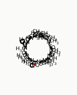 CC(C)C[C@H]1C(=O)N(C)[C@@H](C(C)C)C(=O)N[C@@H](C(C)C)C(=O)N(C)CCC(=O)N(C)[C@@H](C)C(=O)N[C@@H]([C@@H](C)O)C(=O)N(C)[C@@H](C)C(=O)N[C@H](C(=O)N2CCCCC2)C(=O)N(C)[C@@H](C)C(=O)N(C)[C@H](C)C(=O)CN(C)[C@@H](Cc2ccccc2)C(=O)NC(C)C(=O)N1C